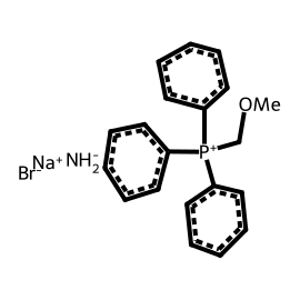 COC[P+](c1ccccc1)(c1ccccc1)c1ccccc1.[Br-].[NH2-].[Na+]